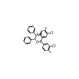 Cc1ccc(B(OC(c2ccccc2)C(N)c2ccccc2)c2ccc(C)c(Cl)c2)cc1Cl